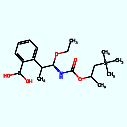 CCO[C@@H](NC(=O)OC(C)C[Si](C)(C)C)C(C)c1ccccc1B(O)O